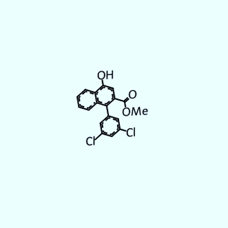 COC(=O)c1cc(O)c2ccccc2c1-c1cc(Cl)cc(Cl)c1